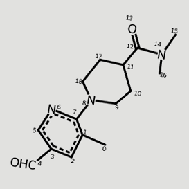 Cc1cc(C=O)cnc1N1CCC(C(=O)N(C)C)CC1